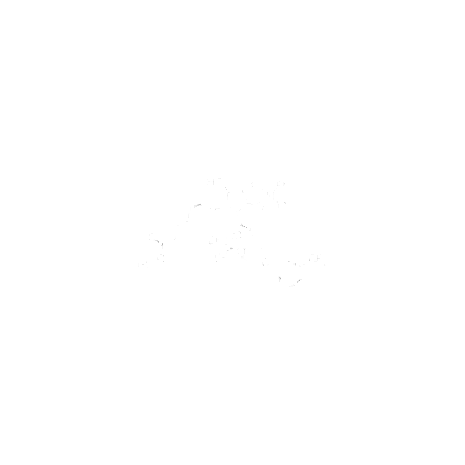 CC[Si](CC)(CC)OC1C[C@H](O)[C@H](C/C=C\CCCC(=O)OC(C)C)[C@H]1/C=C/[C@H](COc1cccc(C(F)(F)F)c1)O[Si](CC)(CC)CC